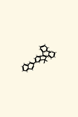 CC1(C)c2cc(-c3ccc4ccccc4c3)ccc2-c2c1c1cccnc1c1ccccc21